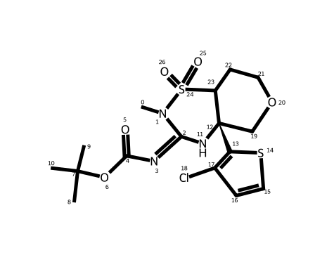 CN1/C(=N\C(=O)OC(C)(C)C)N[C@@]2(c3sccc3Cl)COCCC2S1(=O)=O